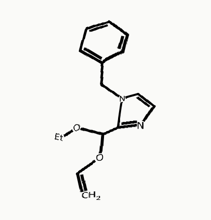 C=COC(OCC)c1nccn1Cc1ccccc1